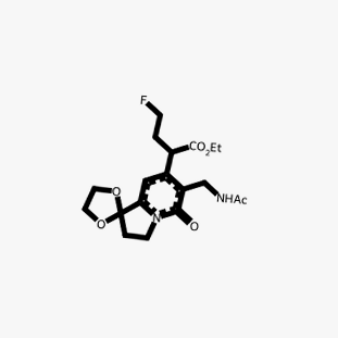 CCOC(=O)[C](CCF)c1cc2n(c(=O)c1CNC(C)=O)CCC21OCCO1